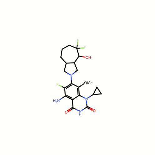 COc1c(N2CC3CCCC(F)(F)C(O)C3C2)c(F)c(N)c2c(=O)[nH]c(=O)n(C3CC3)c12